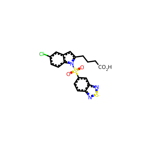 O=C(O)CCCc1cc2cc(Cl)ccc2n1S(=O)(=O)c1ccc2nsnc2c1